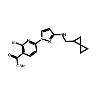 CCc1nc(-n2ccc(NCC3CC34CC4)n2)ccc1C(=O)OC